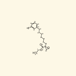 CCOC(=O)C1(CCCCCCCc2cccc(F)c2)CO1